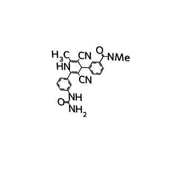 CNC(=O)c1cccc(C2C(C#N)=C(C)NC(c3cccc(NC(N)=O)c3)=C2C#N)c1